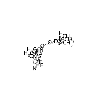 Cc1cc(OCCCOCCOCC(=O)NC(C)C(C)(C)C)ncc1N1C(=S)N(c2ccc(C#N)c(C(F)(F)F)c2F)C(=O)C1(C)C